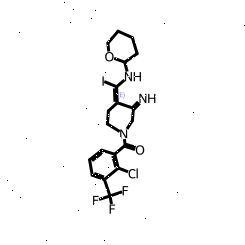 N=C1CN(C(=O)c2cccc(C(F)(F)F)c2Cl)CC/C1=C(\I)NC1CCCCO1